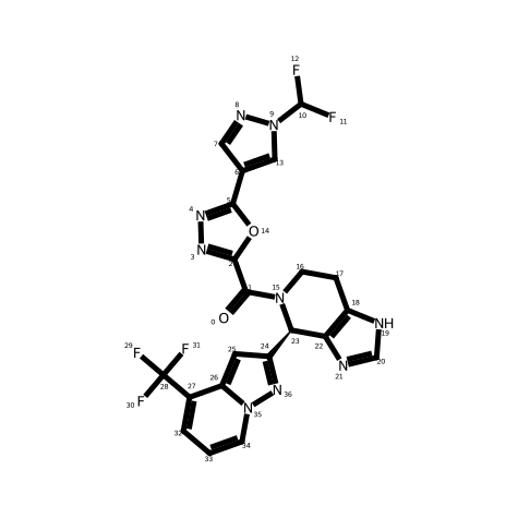 O=C(c1nnc(-c2cnn(C(F)F)c2)o1)N1CCc2[nH]cnc2[C@H]1c1cc2c(C(F)(F)F)cccn2n1